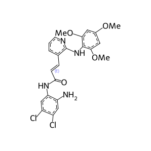 COc1cc(OC)c(Nc2ncccc2/C=C/C(=O)Nc2cc(Cl)c(Cl)cc2N)c(OC)c1